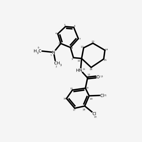 CN(C)c1ccccc1CC1(NC(=O)c2cccc(Cl)c2Cl)CCCCC1